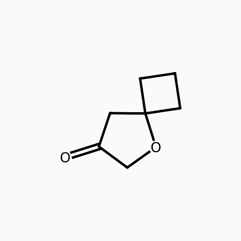 O=C1COC2(CCC2)C1